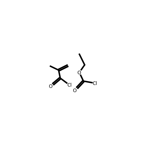 C=C(C)C(=O)Cl.CCOC(=O)Cl